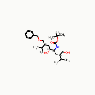 CC(C)[C@@H](COCc1ccccc1)C[C@@H](O)[C@H](C[C@H](CO)C(C)C)NC(=O)OC(C)(C)C